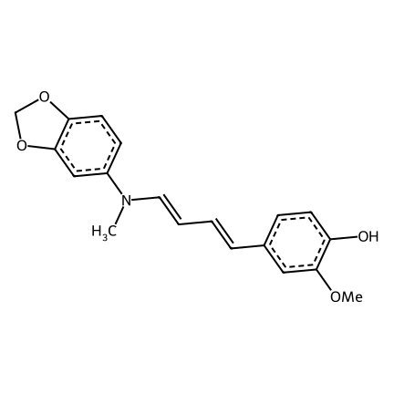 COc1cc(/C=C/C=C/N(C)c2ccc3c(c2)OCO3)ccc1O